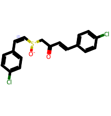 O=C(C=Cc1ccc(Cl)cc1)C[S+]([O-])/C=C\c1ccc(Cl)cc1